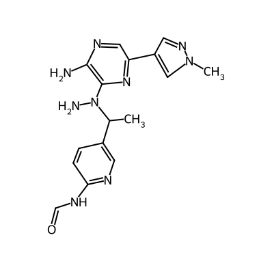 CC(c1ccc(NC=O)nc1)N(N)c1nc(-c2cnn(C)c2)cnc1N